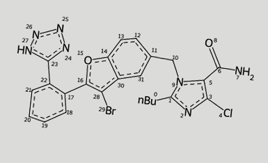 CCCCc1nc(Cl)c(C(N)=O)n1Cc1ccc2oc(-c3ccccc3-c3nnn[nH]3)c(Br)c2c1